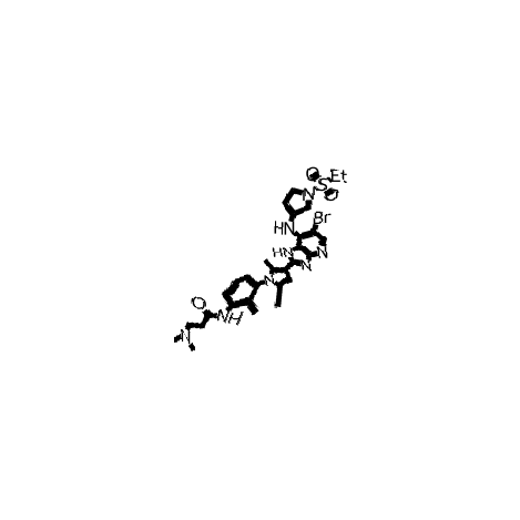 CCS(=O)(=O)N1CCC(Nc2c(Br)cnc3nc(-c4cc(C)n(-c5cccc(NC(=O)CCN(C)C)c5C)c4C)[nH]c23)C1